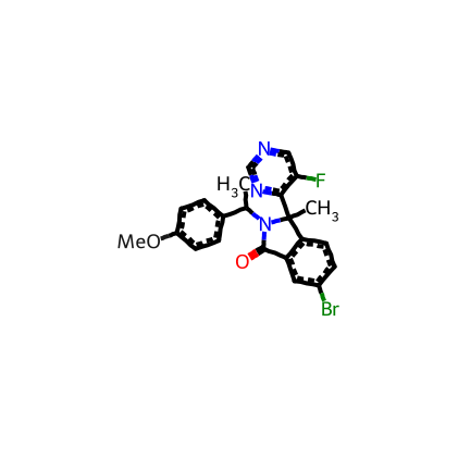 COc1ccc(C(C)N2C(=O)c3cc(Br)ccc3C2(C)c2ncncc2F)cc1